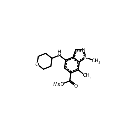 COC(=O)c1cc(NC2CCOCC2)c2cnn(C)c2c1C